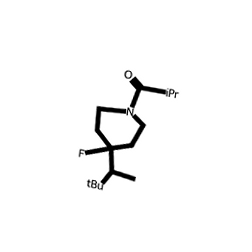 CC(C)C(=O)N1CCC(F)(C(C)C(C)(C)C)CC1